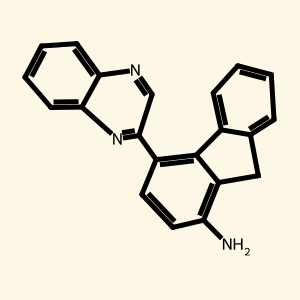 Nc1ccc(-c2cnc3ccccc3n2)c2c1Cc1ccccc1-2